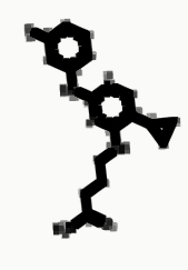 NC(=O)CCCNc1nc(Nc2cccc(F)c2)ncc1C1CC1